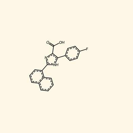 O=C(O)c1nc(-c2cccc3ccccc23)[nH]c1-c1ccc(F)cc1